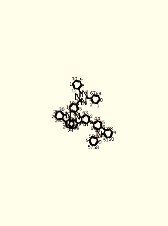 c1ccc(-c2nc(-c3ccccc3)nc(-c3ccc(-n4c5ccccc5c5ccccc54)c(-n4c5ccccc5c5cc(-c6ccc7c8ccccc8n(-c8ccccc8)c7c6)ccc54)c3)n2)cc1